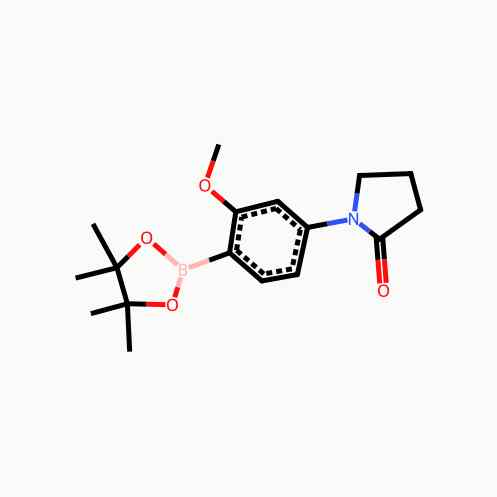 COc1cc(N2CCCC2=O)ccc1B1OC(C)(C)C(C)(C)O1